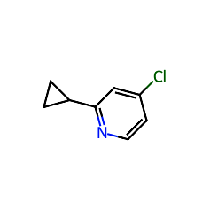 Clc1ccnc(C2CC2)c1